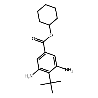 CC(C)(C)c1c(N)cc(C(=O)OC2CCCCC2)cc1N